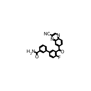 N#Cc1cnc2ccc(C(=O)c3cc(-c4cccc(C(N)=O)c4)ccc3F)cc2n1